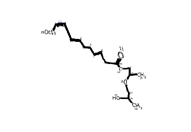 CCCCCCCC/C=C\CCCCCCCC(=O)OCC(C)OCC(C)O